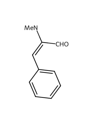 CNC(C=O)=Cc1ccccc1